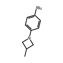 CC1CN(c2ccc(C(C)(C)C)cc2)C1